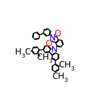 Cc1ccc(-c2ccc3c(c2)c2cc(-c4ccc(C)cc4C)ccc2n3-c2cccc3c2C(=O)N(c2cccc(-c4ccccc4)c2)C3=O)c(C)c1